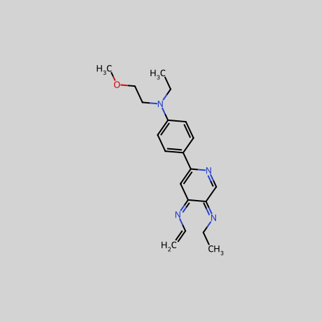 C=C/N=C1/C=C(c2ccc(N(CC)CCOC)cc2)N=C/C1=N/CC